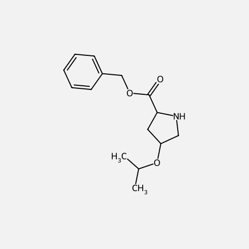 CC(C)OC1CNC(C(=O)OCc2ccccc2)C1